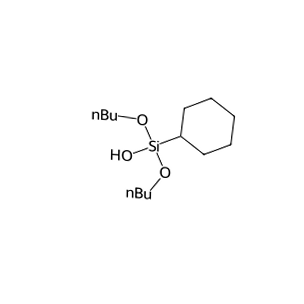 CCCCO[Si](O)(OCCCC)C1CCCCC1